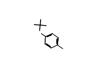 CCC(C)c1ccc(OC(C)(CC)CC)cc1